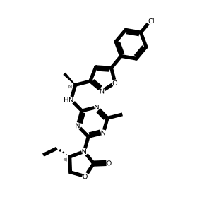 CC[C@H]1COC(=O)N1c1nc(C)nc(N[C@@H](C)c2cc(-c3ccc(Cl)cc3)on2)n1